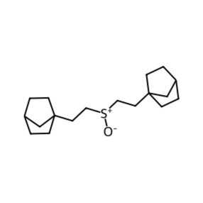 [O-][S+](CCC12CCC(CC1)C2)CCC12CCC(CC1)C2